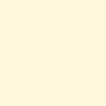 Cn1cnc2c(-c3ccc(OC(F)(F)F)cc3)cc(CN)c(NCCO)c21